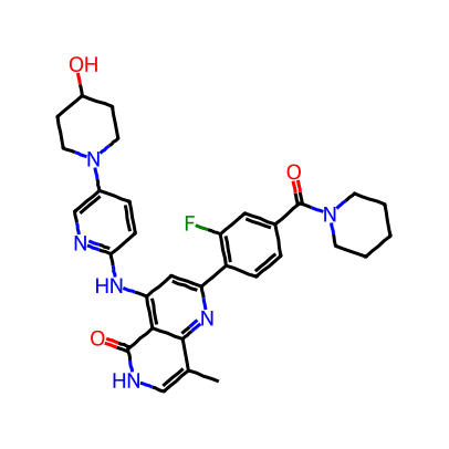 Cc1c[nH]c(=O)c2c(Nc3ccc(N4CCC(O)CC4)cn3)cc(-c3ccc(C(=O)N4CCCCC4)cc3F)nc12